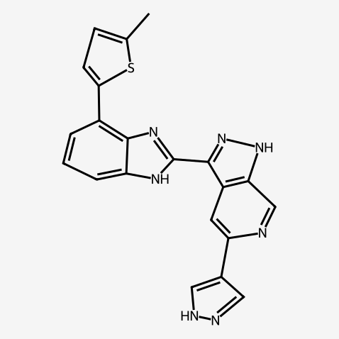 Cc1ccc(-c2cccc3[nH]c(-c4n[nH]c5cnc(-c6cn[nH]c6)cc45)nc23)s1